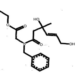 CCOC(=O)CN(Cc1ccccc1)C(=O)CC(C)(O)/C=C/CO